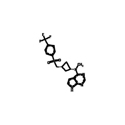 CN(c1ncnc2[nH]ccc12)[C@H]1C[C@@H](CS(=O)(=O)c2ccc(C(F)(F)F)cc2)C1